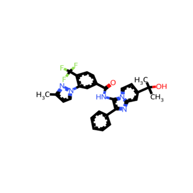 Cc1ccn(-c2cc(C(=O)Nc3c(-c4ccccc4)nc4cc(C(C)(C)O)ccn34)ccc2C(F)(F)F)n1